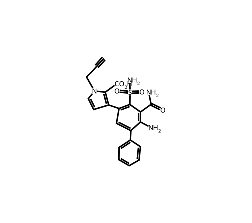 C#CCn1ccc(-c2cc(-c3ccccc3)c(N)c(C(N)=O)c2S(N)(=O)=O)c1C(=O)O